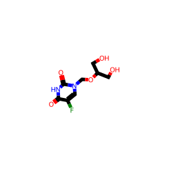 O=c1[nH]c(=O)n(COC(CO)CO)cc1F